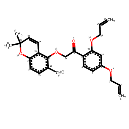 C=CCOc1ccc(C(=O)COc2c(C=O)ccc3c2C=CC(C)(C)O3)c(OCC=C)c1